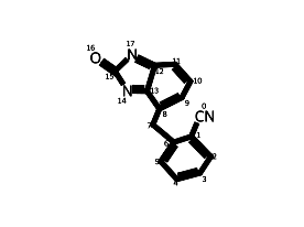 N#Cc1ccccc1Cc1cccc2c1=NC(=O)N=2